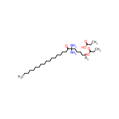 CCC(=O)O.CCC(=O)O.CCCCCCCCCCCCCCCCCC(=O)C(N)(N)CCCCC